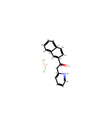 F[B]F.O=C(Cc1ccccn1)c1ccc2ccccc2c1